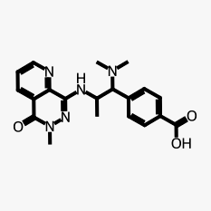 CC(Nc1nn(C)c(=O)c2cccnc12)C(c1ccc(C(=O)O)cc1)N(C)C